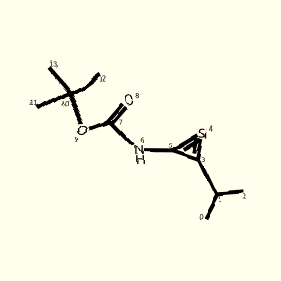 CC(C)C1=[Si]=C1NC(=O)OC(C)(C)C